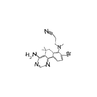 CN(CCC#N)c1c(Br)ccc2c1CC(C)(C)c1c(N)ncnc1-2